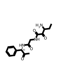 CCC(N)C(=O)C(=O)NCC(=O)N[C@H](C(C)=O)c1ccccc1